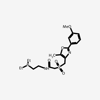 CCN(CC)CCNC(=O)CS(=O)(=O)Cc1nc(-c2cccc(OC)c2)oc1C